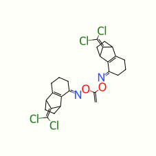 C=C(O/N=C1\CCCC2=C1C1CCC2C1=C(Cl)Cl)O/N=C1\CCCC2=C1C1CCC2C1=C(Cl)Cl